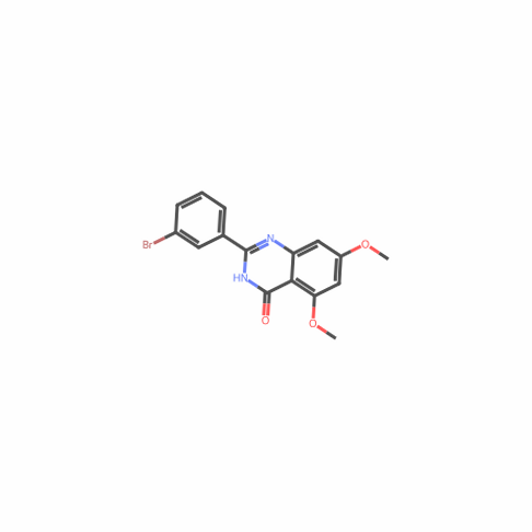 COc1cc(OC)c2c(=O)[nH]c(-c3cccc(Br)c3)nc2c1